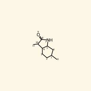 CC1CCC2C(C1)NC(=O)C2C